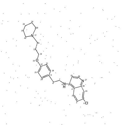 Clc1ccc2c(NCCc3ccc(OCCCN4CCCCC4)cc3)ccnc2c1